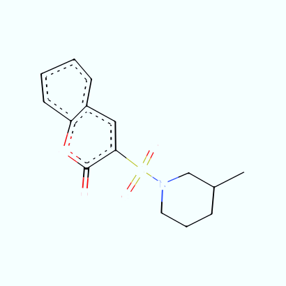 CC1CCCN(S(=O)(=O)c2cc3ccccc3oc2=O)C1